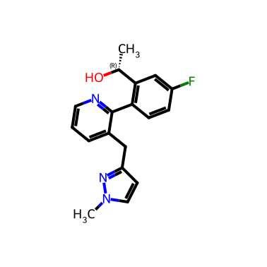 C[C@@H](O)c1cc(F)ccc1-c1ncccc1Cc1ccn(C)n1